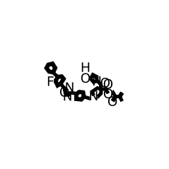 C=C(C)C(=O)COC(=O)C1(C(=O)N2CCC(O)C2)CCN(Cc2ccc(-c3noc(-c4ccc(-c5ccccc5)c(F)c4)n3)cc2)CC1